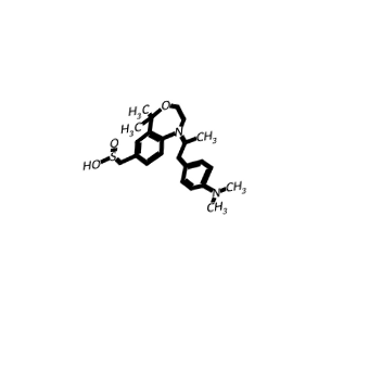 CC(Cc1ccc(N(C)C)cc1)N1CCOC(C)(C)c2cc(CS(=O)O)ccc21